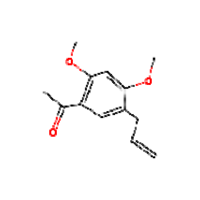 C=CCc1cc(C(C)=O)c(OC)cc1OC